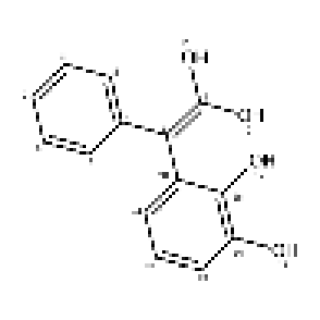 OC(O)=C(c1ccccc1)c1cccc(O)c1O